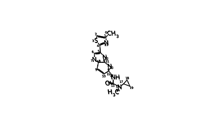 Cc1csc(-c2cnc3ccc(NC(=O)N(C)C4CC4)nc3n2)n1